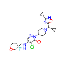 O=c1c(Cl)c(NC[C@@]2(F)CCCOC2)cnn1C1CCN(C(c2nc(C3CC3)no2)C2CC2)CC1